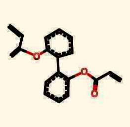 C=CC(=C)Oc1ccccc1-c1ccccc1OC(=O)C=C